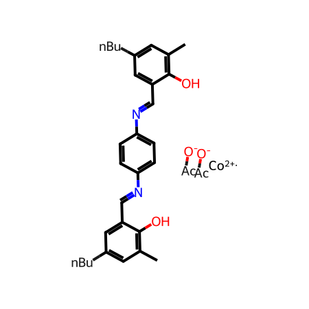 CC(=O)[O-].CC(=O)[O-].CCCCc1cc(C)c(O)c(C=Nc2ccc(N=Cc3cc(CCCC)cc(C)c3O)cc2)c1.[Co+2]